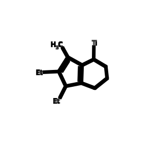 CCC1=C(C)C2=C(CCC[CH]2[Ti])C1CC